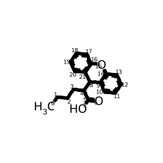 CCCCC(C(=O)O)C1c2ccccc2Oc2ccccc21